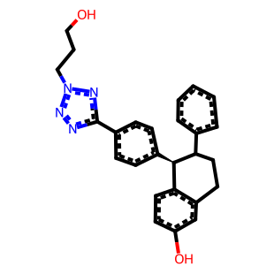 OCCCn1nnc(-c2ccc([C@@H]3c4ccc(O)cc4CCC3c3ccccc3)cc2)n1